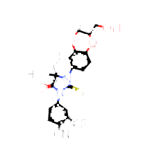 CC1(C)C(=O)N(c2ccc(C#N)c(C(F)(F)F)c2)C(=S)N1c1ccc2c(c1)OCC(CO)O2